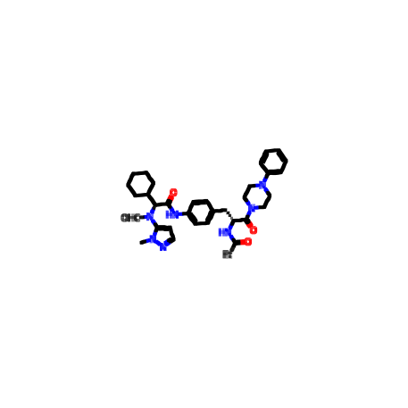 CCC(=O)N[C@H](Cc1ccc(NC(=O)[C@H](C2CCCCC2)N(C=O)c2ccnn2C)cc1)C(=O)N1CCN(c2ccccc2)CC1